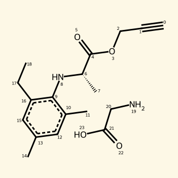 C#CCOC(=O)[C@H](C)Nc1c(C)cc(C)cc1CC.NCC(=O)O